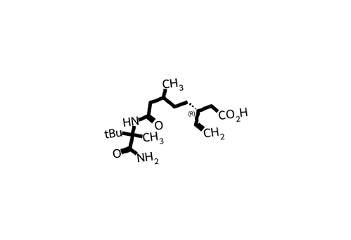 C=C[C@H](CCC(C)CC(=O)NC(C)(C(N)=O)C(C)(C)C)CC(=O)O